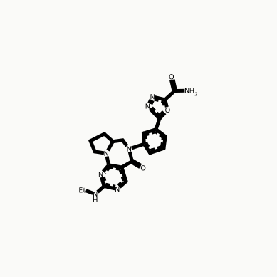 CCNc1ncc2c(n1)N1CCCC1CN(c1cccc(-c3nnc(C(N)=O)o3)c1)C2=O